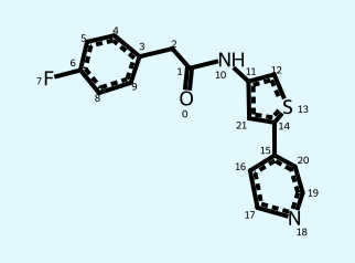 O=C(Cc1ccc(F)cc1)Nc1csc(-c2ccncc2)c1